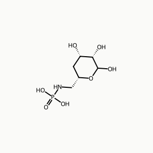 O=P(O)(O)NC[C@@H]1C[C@H](O)[C@H](O)C(O)O1